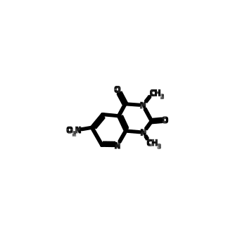 Cn1c(=O)c2cc([N+](=O)[O-])cnc2n(C)c1=O